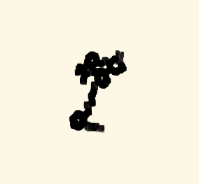 COc1ccccc1COCCCOc1ccc(C2CCNCC2OCc2cccc3c2NC(=O)C3(C)C)cc1